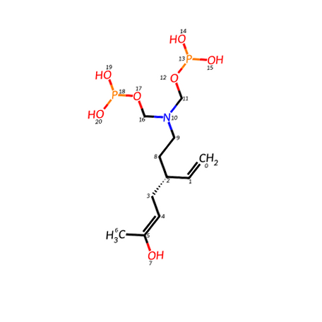 C=C[C@H](C/C=C(\C)O)CCN(COP(O)O)COP(O)O